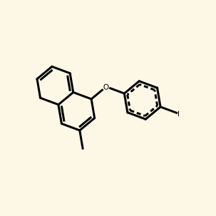 CC1=CC(Oc2ccc(I)cc2)C2=CC=CCC2=C1